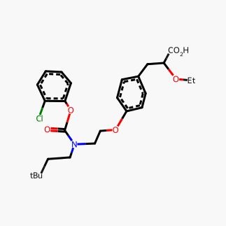 CCOC(Cc1ccc(OCCN(CCC(C)(C)C)C(=O)Oc2ccccc2Cl)cc1)C(=O)O